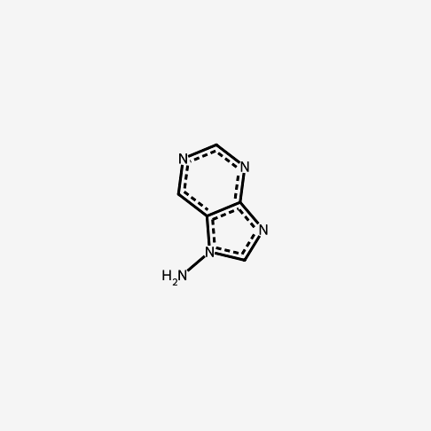 Nn1cnc2ncncc21